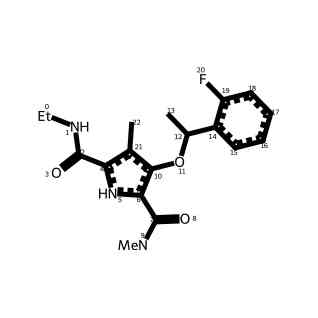 CCNC(=O)c1[nH]c(C(=O)NC)c(OC(C)c2ccccc2F)c1C